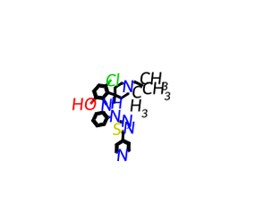 CC(C)(C)CN1CCC2(CC1)CN(c1ccccc1Nc1nnc(-c3ccncc3)s1)c1c(O)ccc(Cl)c12